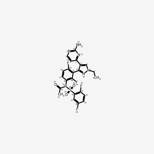 CCn1cc(-c2ccnc(N)n2)c(-c2c(F)ccc(N(C(C)=O)S(=O)(=O)c3cc(F)ccc3F)c2F)n1